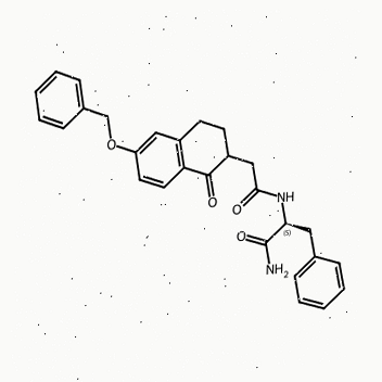 NC(=O)[C@H](Cc1ccccc1)NC(=O)CC1CCc2cc(OCc3ccccc3)ccc2C1=O